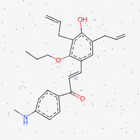 C=CCc1cc(/C=C/C(=O)c2ccc(NC)cc2)c(OCCC)c(CC=C)c1O